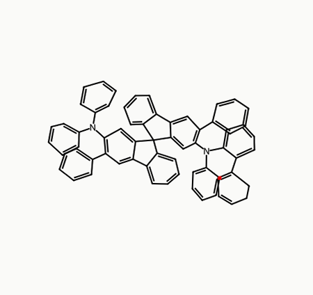 C1=CCCC(c2ccccc2N(c2ccccc2)c2cc3c(cc2-c2ccccc2)-c2ccccc2C32c3ccccc3-c3cc(-c4ccccc4)c(N(c4ccccc4)c4ccccc4)cc32)=C1